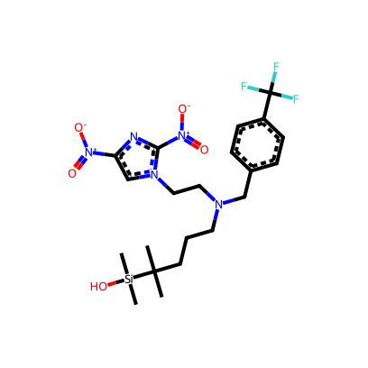 CC(C)(CCCN(CCn1cc([N+](=O)[O-])nc1[N+](=O)[O-])Cc1ccc(C(F)(F)F)cc1)[Si](C)(C)O